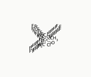 CCC(OC(F)(F)C(F)(F)C(F)(F)C(F)(F)C(F)(F)C(F)(F)C(F)(F)F)C(CCC(=O)Cl)(C(CC)OC(F)(F)C(F)(F)C(F)(F)C(F)(F)C(F)(F)C(F)(F)C(F)(F)F)C(CC)OC(F)(F)C(F)(F)C(F)(F)C(F)(F)C(F)(F)C(F)(F)C(F)(F)F